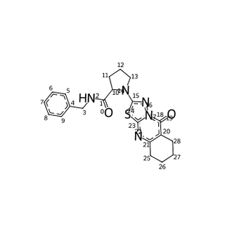 O=C(NCc1ccccc1)C1CCCN1c1nn2c(=O)c3c(nc2s1)CCCC3